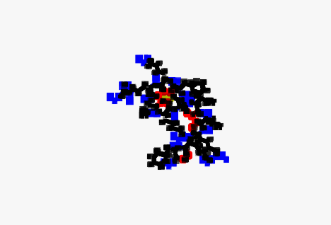 CC(C)C[C@H](NC(=O)[C@H](CC(C)C)NC(=O)[C@H](CS)NC(=O)[C@H](CCCCN)NC(=O)[C@H](CC(C)C)NC(=O)[C@H](CCCNC(=N)N)NC(=O)[C@H](CCCCN)NC(=O)[C@@H](N)Cc1ccccc1)C(=O)N[C@@H](CCCCN)C(=O)N[C@@H](CCCCN)C(=O)N[C@@H](Cc1ccccc1)C(N)=O